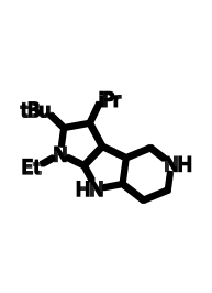 CCN1C2NC3CCNCC3C2C(C(C)C)C1C(C)(C)C